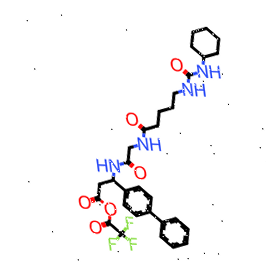 O=C(CCCCNC(=O)NC1CCCCC1)NCC(=O)NC(CC(=O)OC(=O)C(F)(F)F)c1ccc(-c2ccccc2)cc1